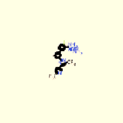 NN/N=C(\N)c1cc(-c2cccc(-c3nc(-c4ccc(C(F)(F)F)nc4)cc(C(F)(F)F)n3)c2)ccc1F